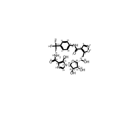 Cc1oncc1C(=O)Nc1ccc(C(F)(F)F)cc1.NC(=O)c1ncn([C@@H]2O[C@H](CO)[C@@H](O)[C@H]2O)c1O